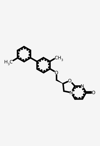 Cc1cccc(-c2ccc(OC[C@@H]3Cn4ccc(=O)nc4O3)c(C)c2)c1